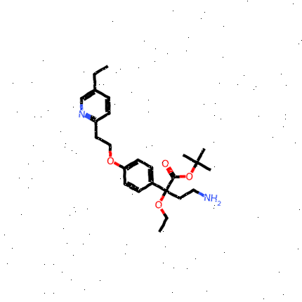 CCOC(CCN)(C(=O)OC(C)(C)C)c1ccc(OCCc2ccc(CC)cn2)cc1